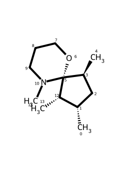 C[C@H]1C[C@H](C)[C@@]2(OCCCN2C)[C@H]1C